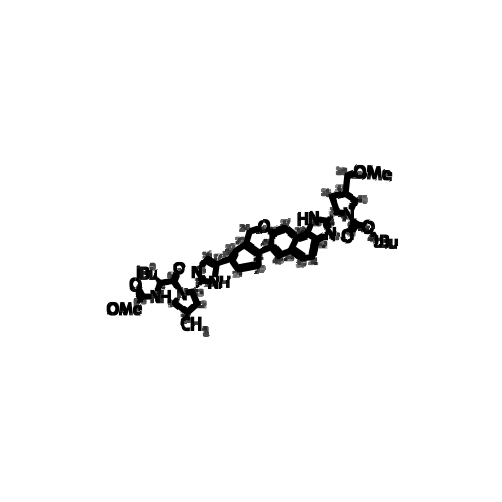 CC[C@H](C)C(NC(=O)OC)C(=O)N1C[C@@H](C)C[C@H]1c1ncc(-c2ccc3c(c2)COc2cc4c(ccc5nc([C@@H]6CC(COC)CN6C(=O)OC(C)(C)C)[nH]c54)cc2-3)[nH]1